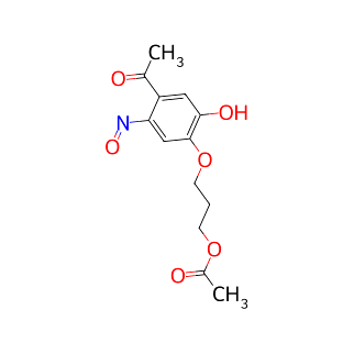 CC(=O)OCCCOc1cc(N=O)c(C(C)=O)cc1O